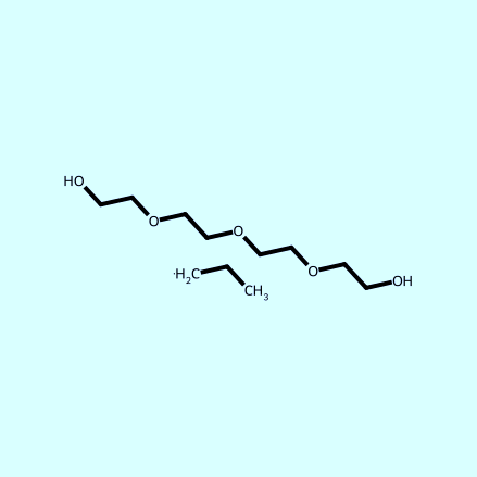 OCCOCCOCCOCCO.[CH2]CC